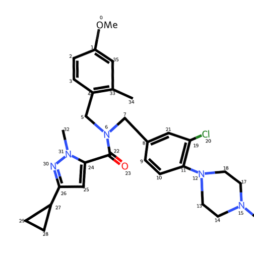 COc1ccc(CN(Cc2ccc(N3CCN(C)CC3)c(Cl)c2)C(=O)c2cc(C3CC3)nn2C)c(C)c1